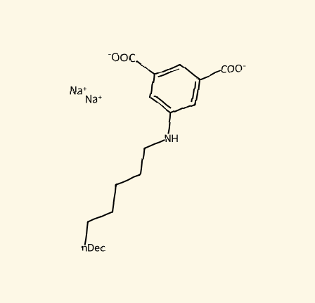 CCCCCCCCCCCCCCCNc1cc(C(=O)[O-])cc(C(=O)[O-])c1.[Na+].[Na+]